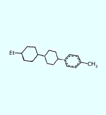 CCC1CCC(C2CCC(c3ccc(C)cc3)CC2)CC1